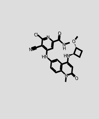 CNC(=O)c1cc(Nc2ccc3c(c2)c(N[C@@H]2CC[C@H]2OC)cc(=O)n3C)c(C#N)c(Cl)n1